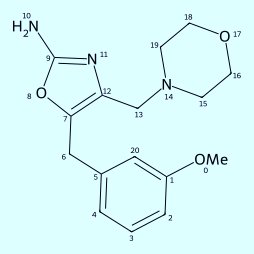 COc1cccc(Cc2oc(N)nc2CN2CCOCC2)c1